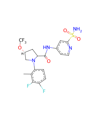 Cc1c(N2C[C@H](OC(F)(F)F)CC2C(=O)Nc2ccnc(S(N)(=O)=O)c2)ccc(F)c1F